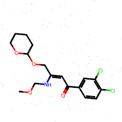 COCNC(=CC(=O)c1ccc(Cl)c(Cl)c1)COC1CCCCO1